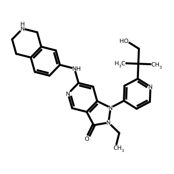 CCn1c(=O)c2cnc(Nc3ccc4c(c3)CNCC4)cc2n1-c1ccnc(C(C)(C)CO)c1